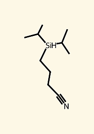 CC(C)[SiH](CCCC#N)C(C)C